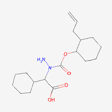 C=CCC1CCCCC1OC(=O)N(N)C(C(=O)O)C1CCCCC1